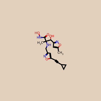 Cc1cc([C@H](O)C(C)(NCc2cc(C#CC3CC3)on2)C(=O)NO)no1